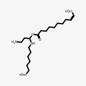 CCCCCCCC/C=C\CCCCCCCC(=O)OC(CCN)NCCCCCCCCCCCCCCCC